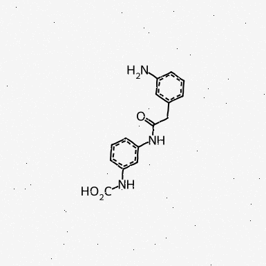 Nc1cccc(CC(=O)Nc2cccc(NC(=O)O)c2)c1